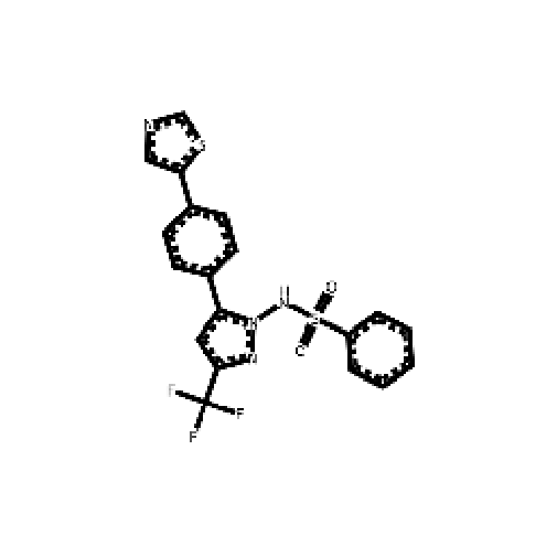 O=S(=O)(Nn1nc(C(F)(F)F)cc1-c1ccc(-c2cncs2)cc1)c1ccccc1